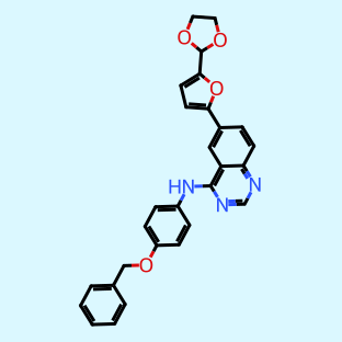 c1ccc(COc2ccc(Nc3ncnc4ccc(-c5ccc(C6OCCO6)o5)cc34)cc2)cc1